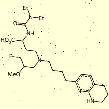 CCN(CC)C(=O)NC(CCN(CCCCc1ccc2c(n1)NCCC2)CC(CF)OC)C(=O)O